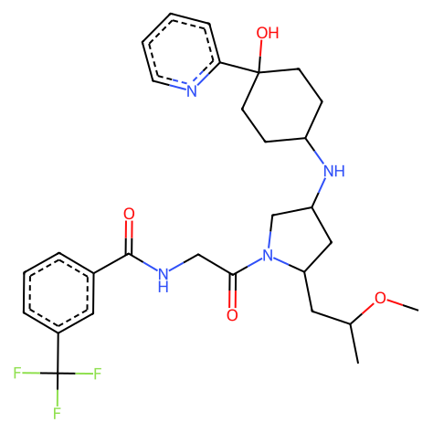 COC(C)CC1CC(NC2CCC(O)(c3ccccn3)CC2)CN1C(=O)CNC(=O)c1cccc(C(F)(F)F)c1